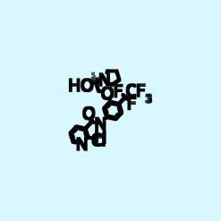 C[C@@](O)(COc1cc(NC(=O)c2cccnc2Cl)ccc1C(F)(F)C(F)(F)F)N1CCCC1